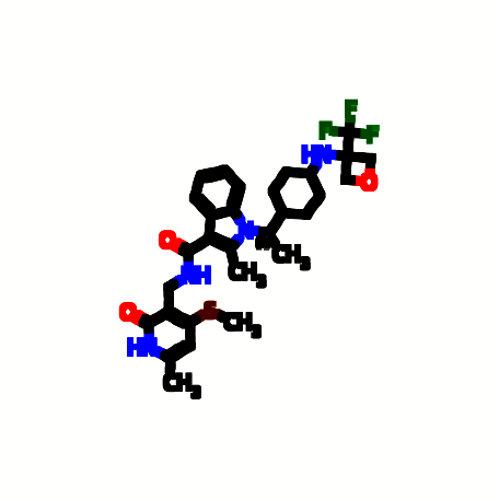 CSc1cc(C)[nH]c(=O)c1CNC(=O)c1c(C)n([C@H](C)C2CCC(NC3(C(F)(F)F)COC3)CC2)c2ccccc12